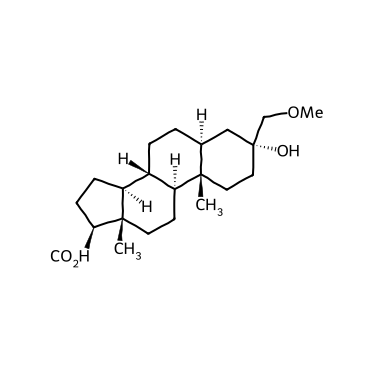 COC[C@@]1(O)CC[C@@]2(C)[C@@H](CC[C@@H]3[C@@H]2CC[C@]2(C)[C@@H](C(=O)O)CC[C@@H]32)C1